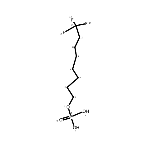 O=P(O)(O)OCCCCCCCC(F)(F)F